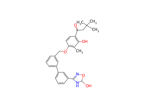 Cc1c(OCc2cccc(-c3cccc(C4=NOC(O)N4)c3)c2)ccc(C(=O)CC(C)(C)C)c1O